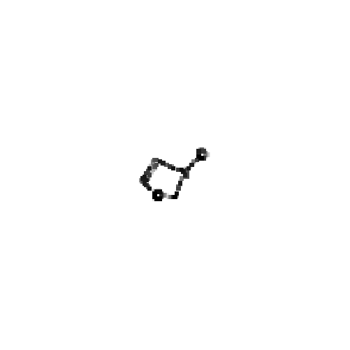 [O]N1C=COC1